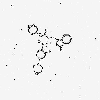 O=C(NC(Cc1c[nH]c2ccccc12)C(=O)Nc1ccncc1)c1ccc(N2CCOCC2)cc1F